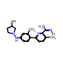 CCCC1CCN(Nc2ccc(-c3ccc(C)c(/C(N)=N\CC)n3)c(C)c2)C1